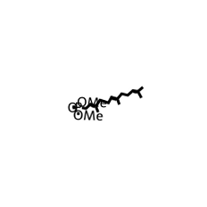 COP(=O)(C/C=C(\C)CC/C=C(\C)CCC=C(C)C)OC